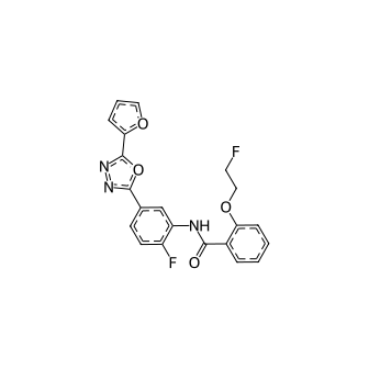 O=C(Nc1cc(-c2nnc(-c3ccco3)o2)ccc1F)c1ccccc1OCCF